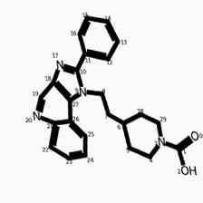 O=C(O)N1CCC(CCn2c(-c3ccccc3)nc3cnc4ccccc4c32)CC1